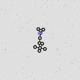 c1ccc(-c2c3c(c(-c4ccccc4)c4ccccc24)-c2ccc(-c4ccc(-c5cn6c7ccccc7c7ccccc7c6n5)cc4)c4cccc-3c24)cc1